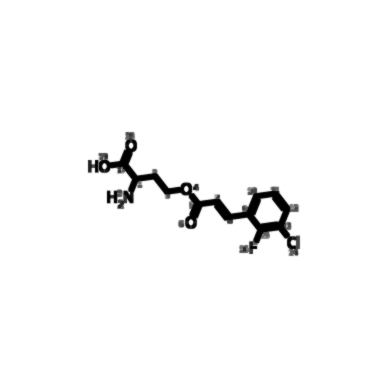 NC(CCOC(=O)/C=C/c1cccc(Cl)c1F)C(=O)O